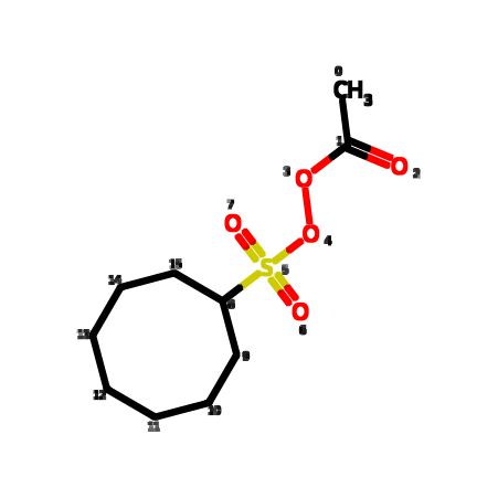 CC(=O)OOS(=O)(=O)C1CCCCCCC1